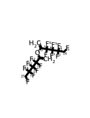 C=C(OC(=C)C(F)(F)C(F)(F)C(F)(F)CF)C(F)(F)C(F)(F)C(F)(F)CF